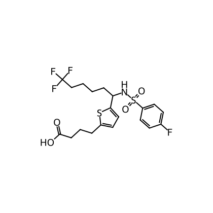 O=C(O)CCCc1ccc(C(CCCCC(F)(F)F)NS(=O)(=O)c2ccc(F)cc2)s1